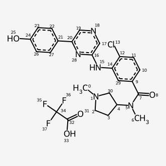 CN1CCC(N(C)C(=O)c2ccc(Cl)c(Nc3cncc(-c4ccc(O)cc4)n3)c2)C1.O=C(O)C(F)(F)F